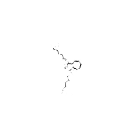 CCCCCCOC(=O)C1=CC=CC=CC1C(=O)OCCCCCC